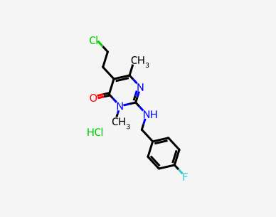 Cc1nc(NCc2ccc(F)cc2)n(C)c(=O)c1CCCl.Cl